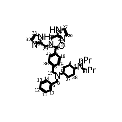 CCCN(CCC)C1CCC(N(Cc2ccccc2)Cc2ccc(C(=O)N(Cc3ncc[nH]3)Cc3ncc[nH]3)cc2)CC1